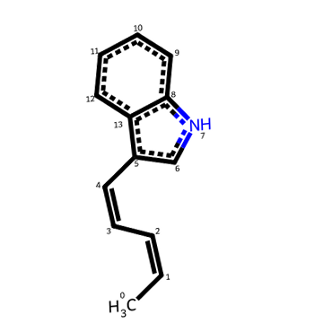 C/C=C\C=C/c1c[nH]c2ccccc12